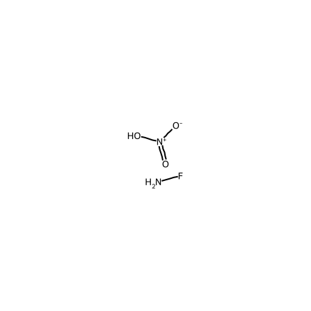 NF.O=[N+]([O-])O